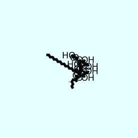 CCCCCCCCCCCCCCCC(=O)OC1C(OC2OC(CO)C(O)C(OSOOO)C2O)OC(CO)C(O)C1OC(=O)/C(C)=C/[C@@H](C)CCC